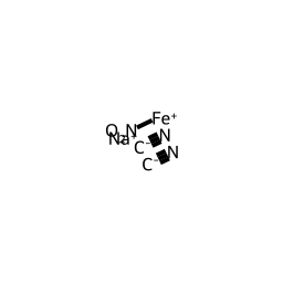 O=[N+]([O-])[Fe+].[C-]#N.[C-]#N.[Na+]